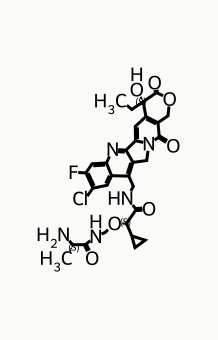 CC[C@@]1(O)C(=O)OCc2c1cc1n(c2=O)Cc2c-1nc1cc(F)c(Cl)cc1c2CNC(=O)[C@@H](OCNC(=O)[C@H](C)N)C1CC1